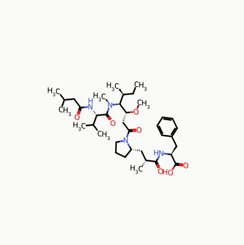 CC[C@H](C)[C@@H]([C@@H](CC(=O)N1CCC[C@H]1C[C@@H](C)C(=O)N[C@@H](Cc1ccccc1)C(=O)O)OC)N(C)C(=O)[C@@H](NC(=O)CC(C)C)C(C)C